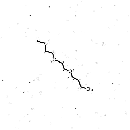 COCCOCCOCCC[O]